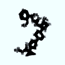 CCc1ccccc1[C@@H](C)OC(=O)Nc1c(C)noc1C1CCN(c2ccc(C3(C(=O)OC)CC3)cc2)CC1